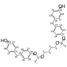 CC(OCCCCOC(C)Oc1ccc(Cc2ccc(O)cc2)cc1)Oc1ccc(Cc2ccc(O)cc2)cc1